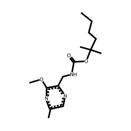 CCCCC(C)(C)OC(=O)NCc1ncc(C)nc1OC